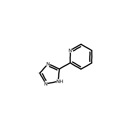 [c]1n[nH]c(-c2ccccn2)n1